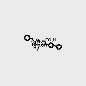 C[C@H](NC(=O)OCc1ccccc1)P(=O)(O)CC(Cc1ccc(-c2ccccc2)cc1)C(=O)O